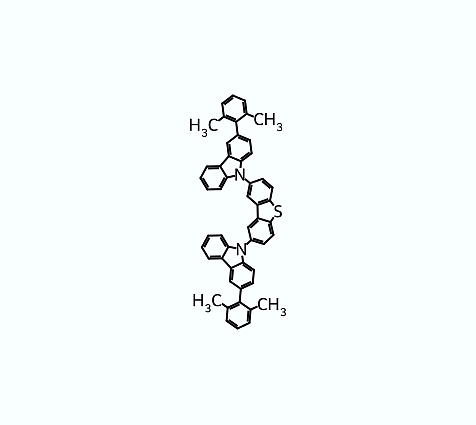 Cc1cccc(C)c1-c1ccc2c(c1)c1ccccc1n2-c1ccc2sc3ccc(-n4c5ccccc5c5cc(-c6c(C)cccc6C)ccc54)cc3c2c1